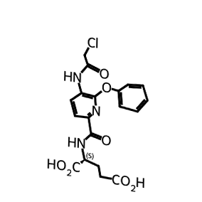 O=C(O)CC[C@H](NC(=O)c1ccc(NC(=O)CCl)c(Oc2ccccc2)n1)C(=O)O